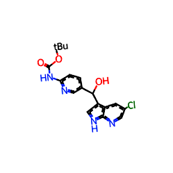 CC(C)(C)OC(=O)Nc1ccc(C(O)c2c[nH]c3ncc(Cl)cc23)cn1